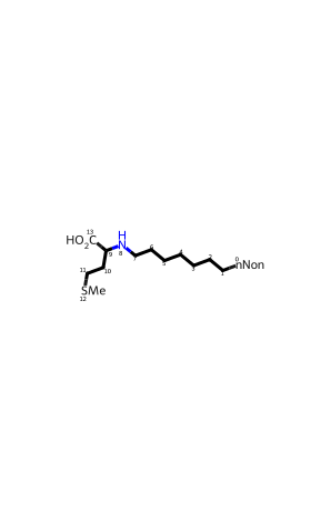 CCCCCCCCCCCCCCCCNC(CCSC)C(=O)O